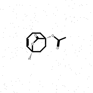 CC(=O)O[C@]12CC/C=C\[C@H](CC1)OC2=O